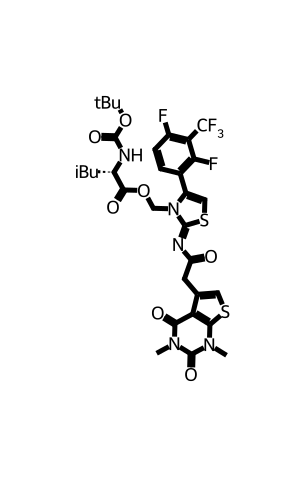 CCC(C)[C@H](NC(=O)OC(C)(C)C)C(=O)OCn1c(-c2ccc(F)c(C(F)(F)F)c2F)cs/c1=N\C(=O)Cc1csc2c1c(=O)n(C)c(=O)n2C